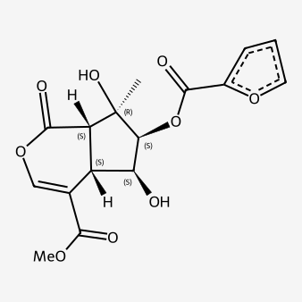 COC(=O)C1=COC(=O)[C@H]2[C@@H]1[C@H](O)[C@H](OC(=O)c1ccco1)[C@]2(C)O